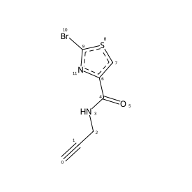 C#CCNC(=O)c1csc(Br)n1